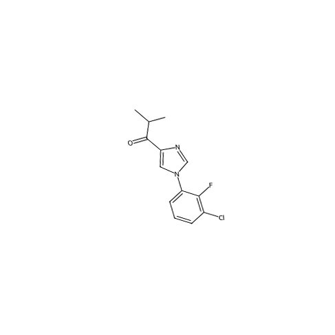 CC(C)C(=O)c1cn(-c2cccc(Cl)c2F)cn1